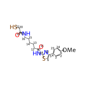 COc1ccc(-c2csc(NC(=O)CCCCCNC(=O)CS)n2)cc1